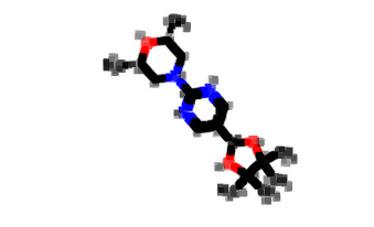 C[C@@H]1CN(c2ncc(B3OC(C)(C)C(C)(C)O3)cn2)C[C@H](C)O1